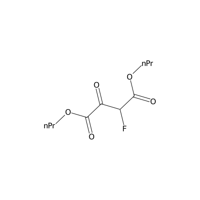 CCCOC(=O)C(=O)C(F)C(=O)OCCC